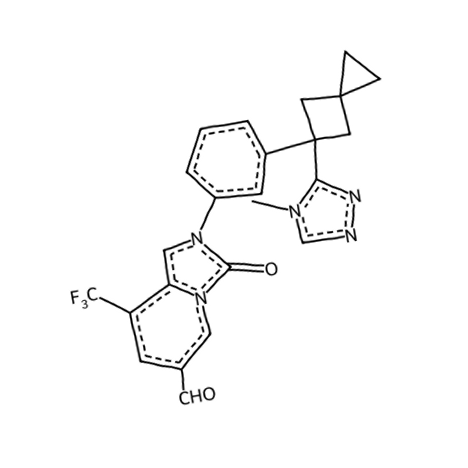 Cn1cnnc1C1(c2cccc(-n3cc4c(C(F)(F)F)cc(C=O)cn4c3=O)c2)CC2(CC2)C1